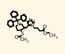 CCOC(=O)CCCn1nncc1/C=C1\CN(C(c2ccccc2)(c2ccccc2)c2ccccc2)CCC1SC(C)=O